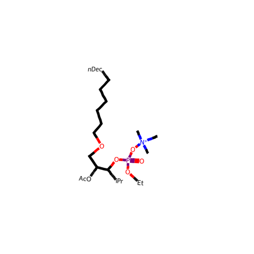 CCCCCCCCCCCCCCCCOCC(OC(C)=O)C(OP(=O)(OCC)O[N+](C)(C)C)C(C)C